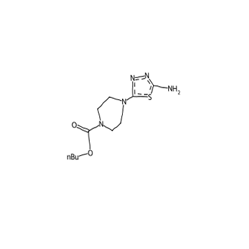 CCCCOC(=O)N1CCN(c2nnc(N)s2)CC1